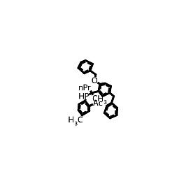 CCCC(C)(Pc1ccc(C)cc1C(C)=O)c1cc(Cc2ccccc2)ccc1OCc1ccccc1